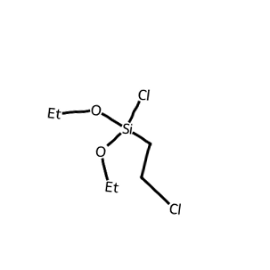 CCO[Si](Cl)(CCCl)OCC